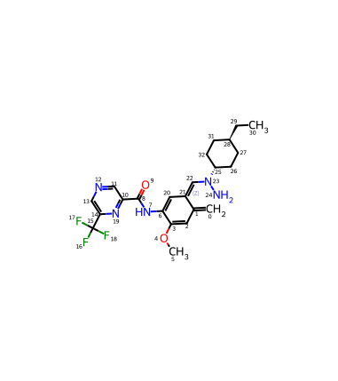 C=c1cc(OC)c(NC(=O)c2cncc(C(F)(F)F)n2)c/c1=C/N(N)[C@H]1CC[C@H](CC)CC1